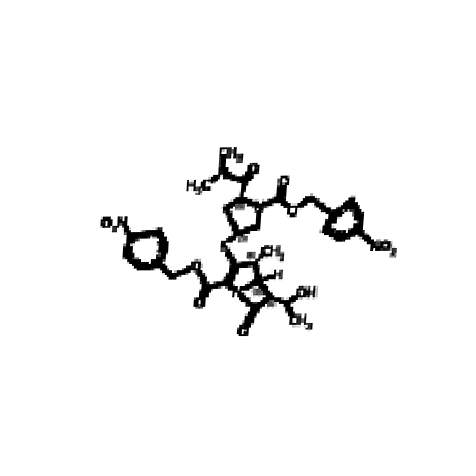 CC(O)[C@H]1C(=O)N2C(C(=O)OCc3ccc([N+](=O)[O-])cc3)=C(S[C@H]3C[C@@H](C(=O)N(C)C)N(C(=O)OCc4ccc([N+](=O)[O-])cc4)C3)[C@H](C)[C@H]12